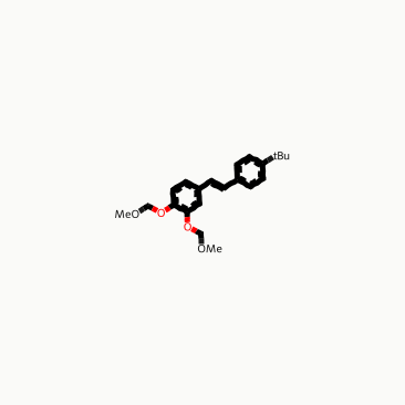 COCOc1ccc(/C=C/c2ccc(C(C)(C)C)cc2)cc1OCOC